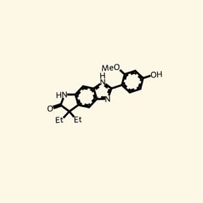 CCC1(CC)C(=O)Nc2cc3[nH]c(-c4ccc(O)cc4OC)nc3cc21